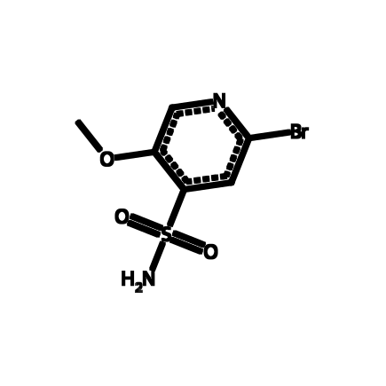 COc1cnc(Br)cc1S(N)(=O)=O